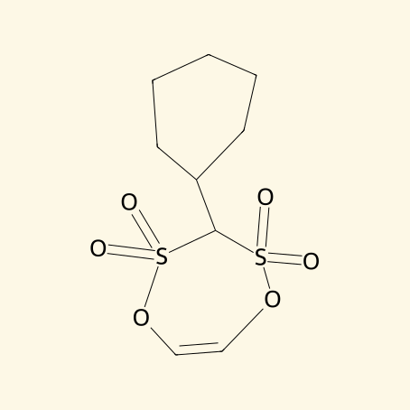 O=S1(=O)OC=COS(=O)(=O)C1C1CCCCC1